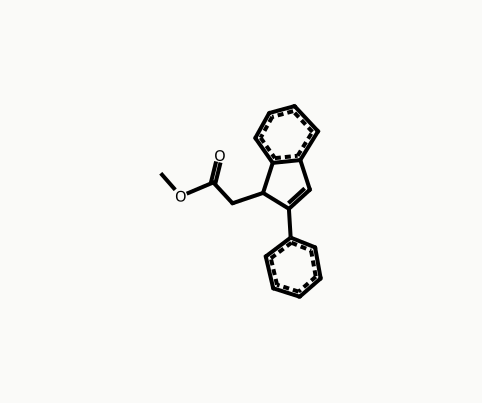 COC(=O)CC1C(c2ccccc2)=Cc2ccccc21